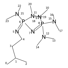 CC(C)CCN=P(N=P(N(C)C)(N(C)C)N(C)C)(N(C)C)N(C)C